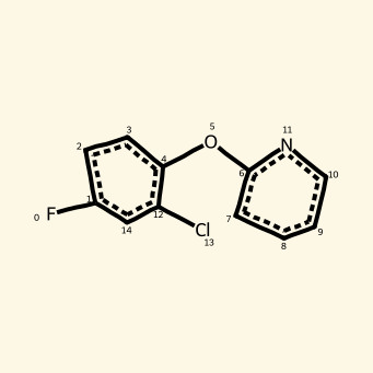 Fc1ccc(Oc2ccccn2)c(Cl)c1